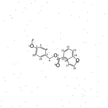 COc1ccc(COC(=O)c2cccc3occc23)cc1